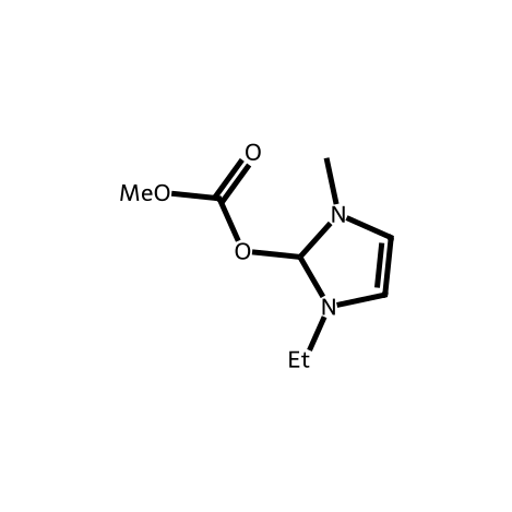 CCN1C=CN(C)C1OC(=O)OC